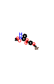 CC(C)(C)OC(=O)Nc1ccc(OC(=O)c2ccc(OCCBr)cc2)c2ccccc12